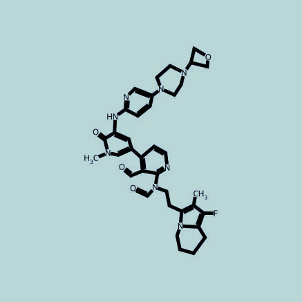 Cc1c(F)c2n(c1CCN(C=O)c1nccc(-c3cc(Nc4ccc(N5CCN(C6COC6)CC5)cn4)c(=O)n(C)c3)c1C=O)CCCC2